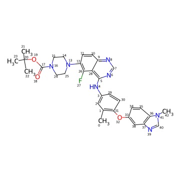 Cc1cc(Nc2ncnc3ccc(N4CCN(C(=O)OC(C)(C)C)CC4)c(F)c23)ccc1Oc1ccc2c(c1)ncn2C